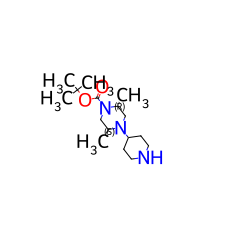 C[C@@H]1CN(C2CCNCC2)[C@@H](C)CN1C(=O)OC(C)(C)C